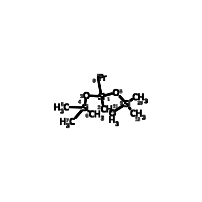 CC(C)[Si](C)(O[Si](C)(C)C)O[Si](C)(C)C